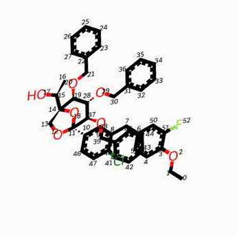 CCOc1ccc(Cc2cc([C@]34OC[C@]([C@H](C)O)(O3)[C@@H](OCc3ccccc3)[C@H](OCc3ccccc3)[C@H]4OCc3ccccc3)ccc2Cl)cc1F